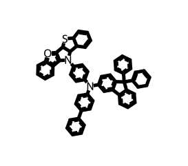 C1=CCCC(C2(c3ccccc3)c3ccccc3-c3cc(N(c4ccc(-c5ccccc5)cc4)c4ccc(N5c6c(oc7ccccc67)C6SC7C=CC=CC7C65)cc4)ccc32)=C1